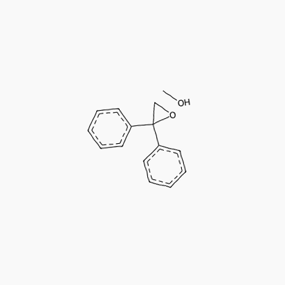 CO.c1ccc(C2(c3ccccc3)CO2)cc1